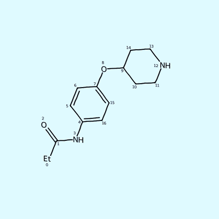 CCC(=O)Nc1ccc(OC2CCNCC2)cc1